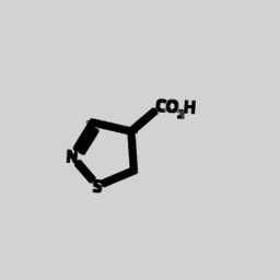 O=C(O)[C]1[C]=NSC1